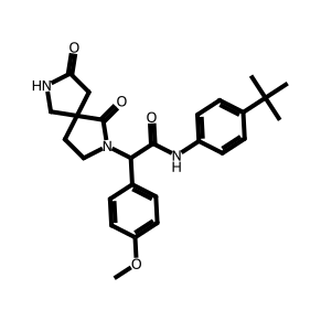 COc1ccc(C(C(=O)Nc2ccc(C(C)(C)C)cc2)N2CCC3(CNC(=O)C3)C2=O)cc1